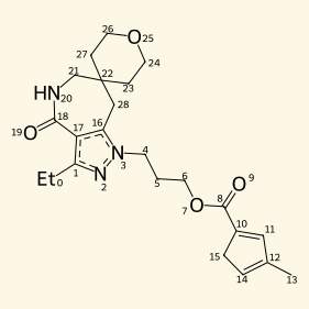 CCc1nn(CCCOC(=O)C2=CC(C)=CC2)c2c1C(=O)NCC1(CCOCC1)C2